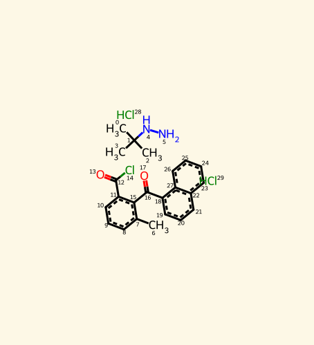 CC(C)(C)NN.Cc1cccc(C(=O)Cl)c1C(=O)c1cccc2ccccc12.Cl.Cl